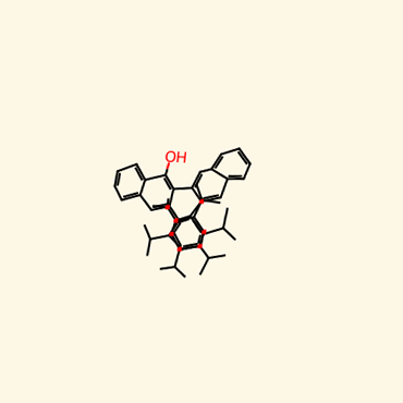 CC(C)c1cc(C(C)C)c(-c2cc3ccccc3cc2-c2c(-c3c(C(C)C)cc(C(C)C)cc3C(C)C)cc3ccccc3c2O)c(C(C)C)c1